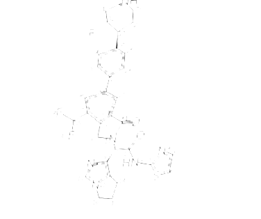 O=C(Nc1nccs1)[C@@H](c1ncn2c1CCC2)N1Cc2c(cc(-c3ccc([C@@H]4CCNC[C@H]4F)cc3)cc2C(F)F)C1=O